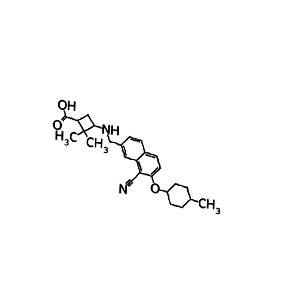 CC1CCC(Oc2ccc3ccc(CNC4CC(C(=O)O)C4(C)C)cc3c2C#N)CC1